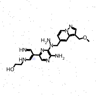 COCc1cnn2ccc(CN(N)c3nc(/C(C=N)=C/NCCO)cnc3N)cc12